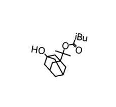 CCC(C)C(=O)OC(C)(C)C12CC3CC(CC(O)(C3)C1)C2